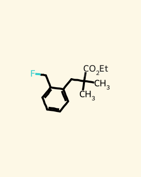 CCOC(=O)C(C)(C)Cc1ccccc1CF